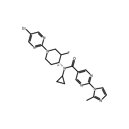 CCc1cnc(N2CC[C@@H](N(C(=O)c3cnc(-n4ccnc4C)nc3)C3CC3)C(F)C2)nc1